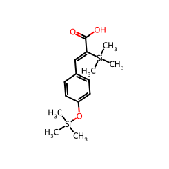 C[Si](C)(C)Oc1ccc(C=C(C(=O)O)[Si](C)(C)C)cc1